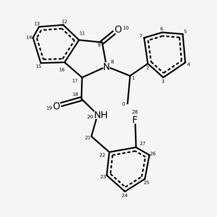 CC(c1ccccc1)N1C(=O)c2ccccc2C1C(=O)NCc1ccccc1F